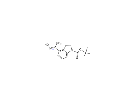 CC(C)(C)OC(=O)n1ccc2c(/C(N)=N/O)cccc21